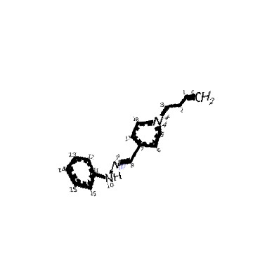 C=CCC[n+]1ccc(/C=N/Nc2ccccc2)cc1